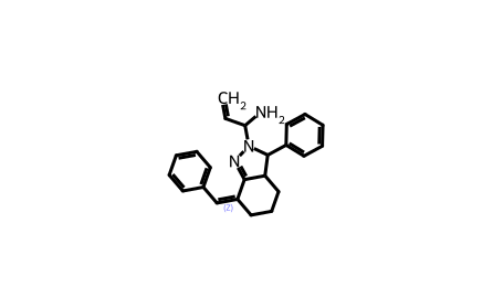 C=CC(N)N1N=C2/C(=C\c3ccccc3)CCCC2C1c1ccccc1